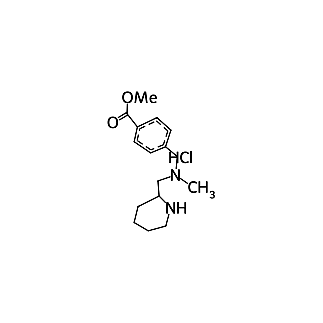 COC(=O)c1ccc(CN(C)CC2CCCCN2)cc1.Cl